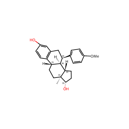 COc1ccc([C@@H]2Cc3cc(O)ccc3[C@H]3CC[C@]4(C)[C@@H](O)CC[C@H]4[C@@H]32)cc1